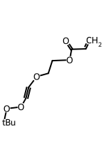 C=CC(=O)OCCOC#COOC(C)(C)C